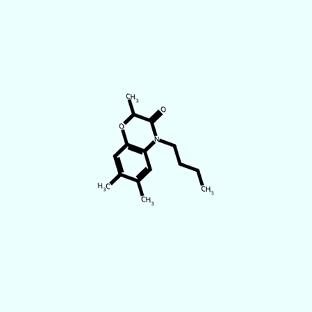 CCCCN1C(=O)C(C)Oc2cc(C)c(C)cc21